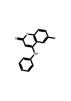 O=c1cc(Nc2ccccc2)c2cc(F)ccc2o1